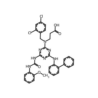 COc1ccccc1NC(=O)Nc1nc(Nc2ccccc2-c2ccccc2)nc(N(CCC(=O)O)Cc2ccc(Cl)cc2Cl)n1